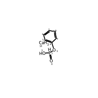 O=[PH](O)Oc1ccccc1.[CaH2]